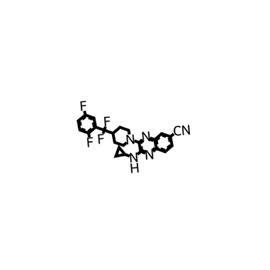 N#Cc1ccc2nc(NC3CC3)c(N3CCC(C(F)(F)c4cc(F)ccc4F)CC3)nc2c1